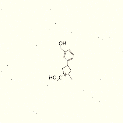 CC1CC(c2cccc(CO)c2)CN1C(=O)O